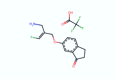 NCC(=CF)COc1ccc2c(c1)C(=O)CC2.O=C(O)C(F)(F)F